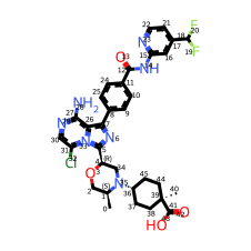 C[C@H]1CO[C@@H](c2nc(-c3ccc(C(=O)Nc4cc(C(F)F)ccn4)cc3)c3c(N)ncc(Cl)n23)CN1[C@H]1CC[C@](C)(C(=O)O)CC1